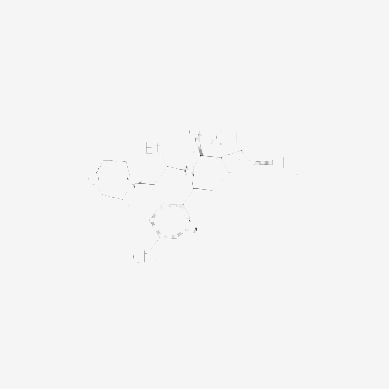 C=CC[C@@]1(C)CCC(c2ccc(Cl)cn2)N(C(CC)CN2CCOCC2)C1=O